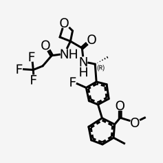 COC(=O)c1c(C)cccc1-c1ccc([C@@H](C)NC(=O)C2(NC(=O)CC(F)(F)F)COC2)c(F)c1